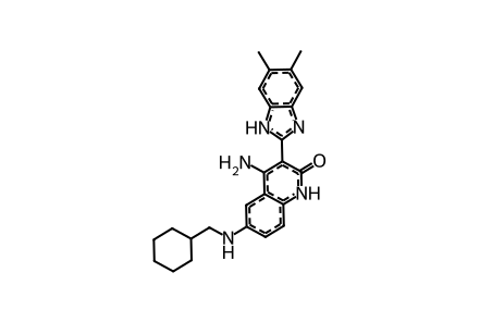 Cc1cc2nc(-c3c(N)c4cc(NCC5CCCCC5)ccc4[nH]c3=O)[nH]c2cc1C